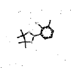 Cc1cccc(B2OC(C)(C)C(C)(C)O2)c1C#N